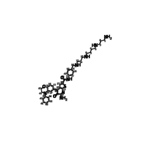 NCCCNCCCCNCCCNCc1ccc(NC(=O)c2cc3c(nc(N)c(=O)n3-c3ccc4c(c3)N(c3ccccc3)CCO4)s2)cc1